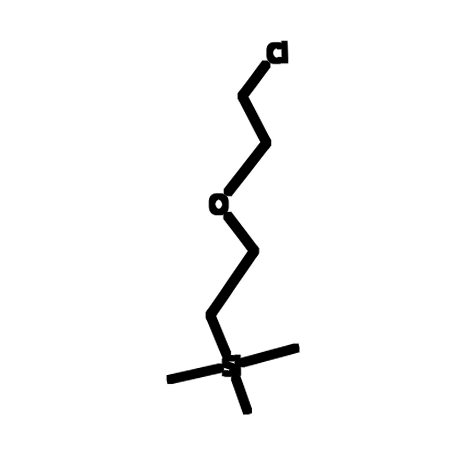 C[Si](C)(C)CCOCCCl